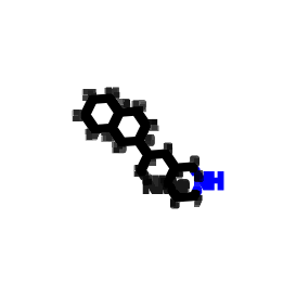 CNCC(CC1CCCNC1)C1CCC2CCCCC2C1